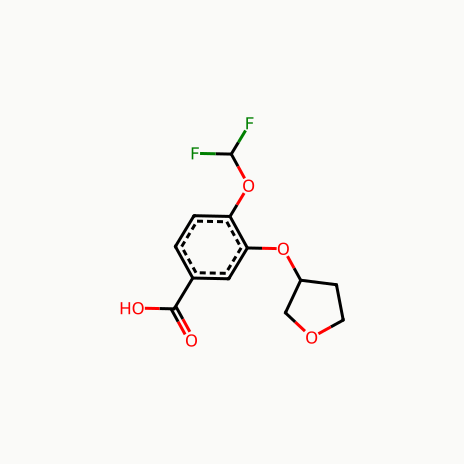 O=C(O)c1ccc(OC(F)F)c(OC2CCOC2)c1